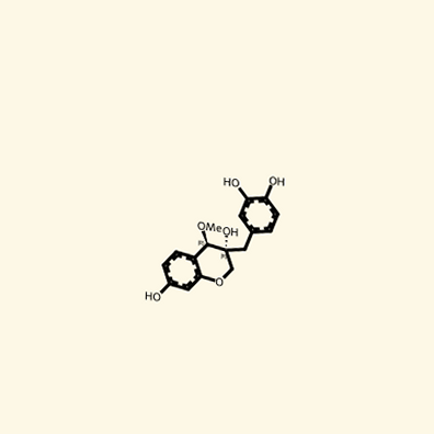 CO[C@@H]1c2ccc(O)cc2OC[C@]1(O)Cc1ccc(O)c(O)c1